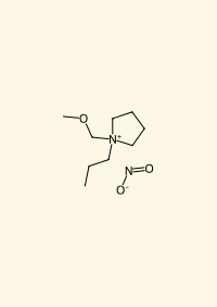 CCC[N+]1(COC)CCCC1.O=N[O-]